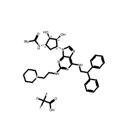 CC(C)(C)C(=O)N[C@H]1C[C@@H](n2cnc3c(NCC(c4ccccc4)c4ccccc4)nc(NCCN4CCCCC4)nc32)[C@H](O)[C@@H]1O.O=C(O)C(F)(F)F